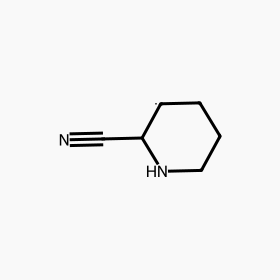 N#CC1[CH]CCCN1